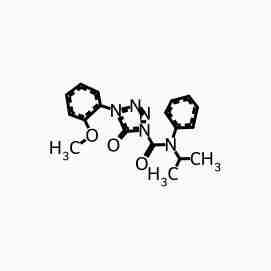 COc1ccccc1-n1nnn(C(=O)N(c2ccccc2)C(C)C)c1=O